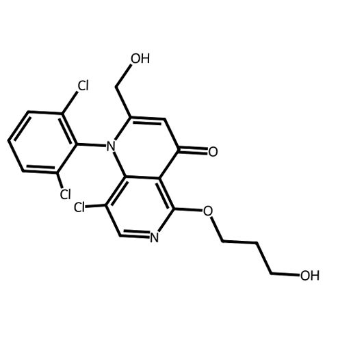 O=c1cc(CO)n(-c2c(Cl)cccc2Cl)c2c(Cl)cnc(OCCCO)c12